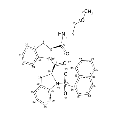 COCCNC(=O)[C@@H]1Cc2ccccc2N1C(=O)[C@@H]1Cc2ccccc2N1S(=O)(=O)c1cccc2ccccc12